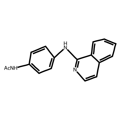 CC(=O)Nc1ccc(Nc2nccc3ccccc23)cc1